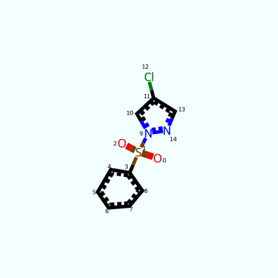 O=S(=O)(c1ccccc1)n1cc(Cl)cn1